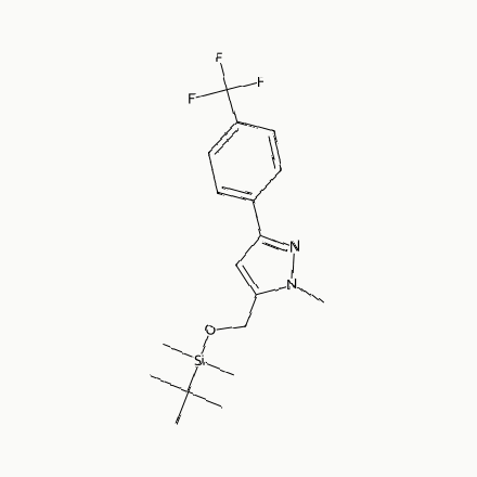 Cn1nc(-c2ccc(C(F)(F)F)cc2)cc1CO[Si](C)(C)C(C)(C)C